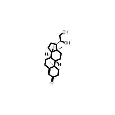 C[C@]12CC[C@H]3[C@@H](CCC4=CC(=O)CC[C@@]43C)[C@@H]1CC[C@@H]2C(O)CO